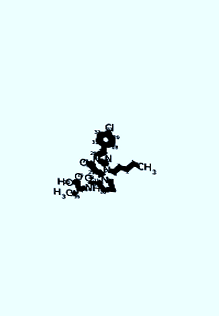 CCCCCn1c(N2CCC[C@H]2C(=O)N[C@H](CC)C(=O)O)cc(=O)n2cc(-c3ccc(Cl)cc3)nc12